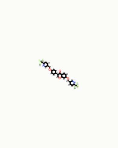 O=c1c(-c2ccc(OCc3ccc(C(F)(F)F)nc3)cc2)coc2cc(OCc3ccc(C(F)(F)F)nc3)ccc12